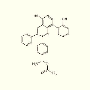 NC(OC(=O)C(F)(F)F)c1ccc(-c2nc3c(-c4ccccc4O)cnc(O)c3cc2-c2ccccc2)cc1